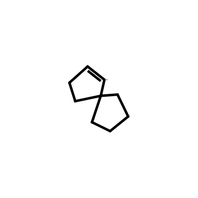 [C]1=CCCC12CCCC2